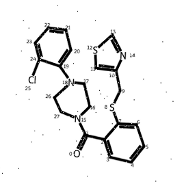 O=C(c1ccccc1SCc1cscn1)N1CCN(c2ccccc2Cl)CC1